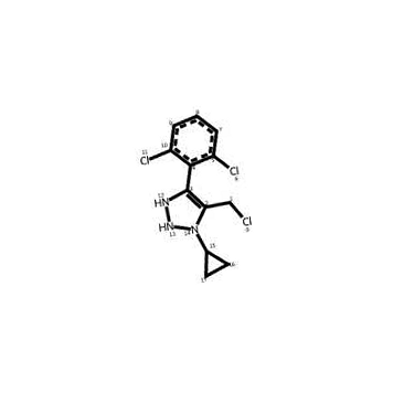 ClCC1=C(c2c(Cl)cccc2Cl)NNN1C1CC1